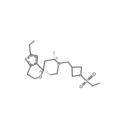 CCc1cc2c(s1)CCO[C@@]21CCN(CC2CN(S(=O)(=O)CC)C2)[C@@H](C)C1